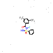 N=S(=O)(c1ccccc1)N(F)C(=O)c1cc(C(F)(F)F)cc(C(F)(F)F)c1